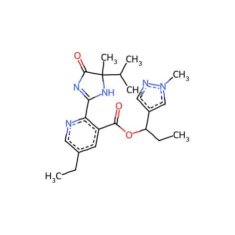 CCc1cnc(C2=NC(=O)C(C)(C(C)C)N2)c(C(=O)OC(CC)c2cnn(C)c2)c1